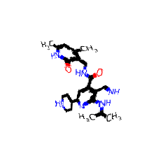 Cc1cc(C)c(CNC(=O)c2cc(C3=CCNCC3)nc(NC(C)C)c2C=N)c(=O)[nH]1